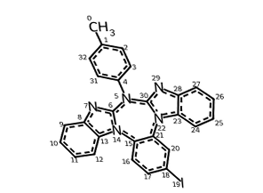 Cc1ccc(-n2c3nc4ccccc4n3c3ccc(I)cc3n3c4ccccc4nc23)cc1